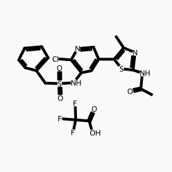 CC(=O)Nc1nc(C)c(-c2cnc(Cl)c(NS(=O)(=O)Cc3ccccc3)c2)s1.O=C(O)C(F)(F)F